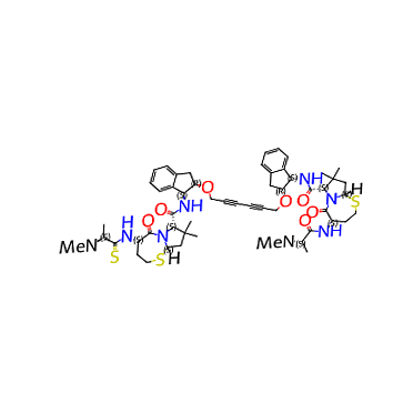 CN[C@@H](C)C(=O)N[C@H]1CCS[C@H]2CC(C)(C)[C@@H](C(=O)N[C@H]3c4ccccc4C[C@H]3OCC#CC#CCO[C@@H]3Cc4ccccc4[C@@H]3NC(=O)[C@H]3N4C(=O)[C@@H](NC(=S)[C@H](C)NC)CCS[C@H]4CC3(C)C)N2C1=O